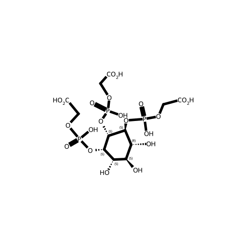 O=C(O)COP(=O)(O)O[C@@H]1[C@@H](OP(=O)(O)OCC(=O)O)[C@H](O)[C@@H](O)[C@H](O)[C@@H]1OP(=O)(O)OCC(=O)O